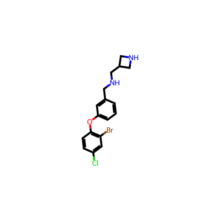 Clc1ccc(Oc2cccc(CNCC3CNC3)c2)c(Br)c1